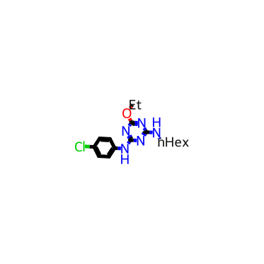 CCCCCCNc1nc(Nc2ccc(Cl)cc2)nc(OCC)n1